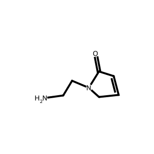 NCCN1CC=CC1=O